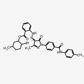 CC1=NN(c2ccc(C(=O)Nc3ccc(C)cc3)cc2)C(=O)/C1=N\Nc1ccccc1C(=O)OC1CC(C)CCC1C(C)C